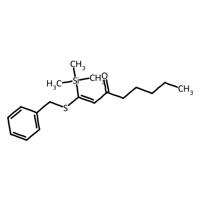 CCCCCC(=O)/C=C(/SCc1ccccc1)[Si](C)(C)C